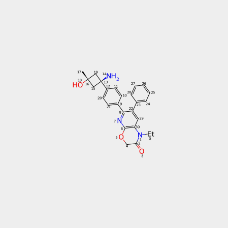 CCN1C(=O)COc2nc(-c3ccc([C@]4(N)C[C@](C)(O)C4)cc3)c(-c3ccccc3)cc21